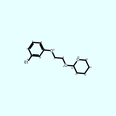 CCc1cccc(OCCOC2CCCCO2)c1